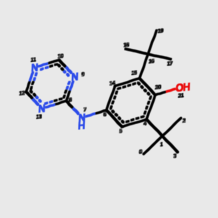 CC(C)(C)c1cc(Nc2ncncn2)cc(C(C)(C)C)c1O